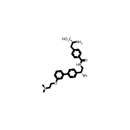 CC(C)[C@@H](CNC(=O)c1ccc(C[C@@H](N)C(=O)O)cc1)c1ccc(-c2cccc(OCCN(C)C)c2)cc1